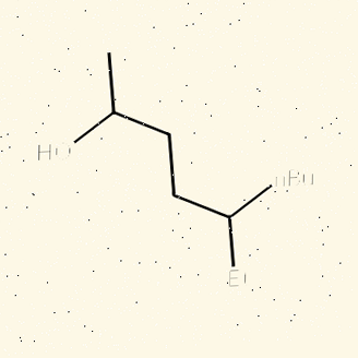 [CH2]C(O)CCC(CC)CCCC